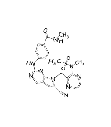 CNC(=O)c1ccc(Nc2ncc3cc(C#N)n(Cc4nccnc4N(C)S(C)(=O)=O)c3n2)cc1